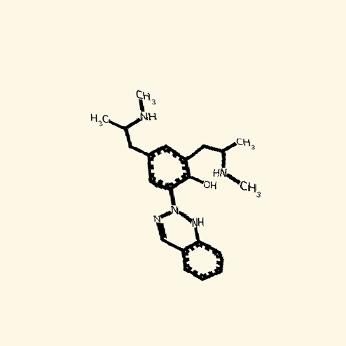 CNC(C)Cc1cc(CC(C)NC)c(O)c(N2N=Cc3ccccc3N2)c1